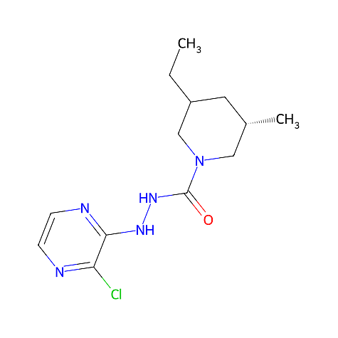 CCC1C[C@H](C)CN(C(=O)NNc2nccnc2Cl)C1